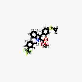 O=C(O)c1c(-c2ccc(SC3CC3)cc2)c2ccccc2n1Cc1cccc(C(F)(F)F)c1.[KH]